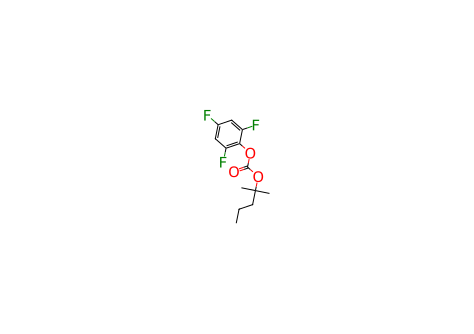 CCCC(C)(C)OC(=O)Oc1c(F)cc(F)cc1F